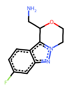 NCC1OCCn2nc3cc(F)ccc3c21